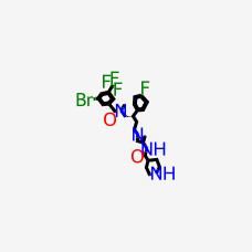 CN(C[C@@H](CCN1CC(NC(=O)C2CCNCC2)C1)c1ccc(F)cc1)C(=O)c1cc(Br)cc(C(F)(F)F)c1